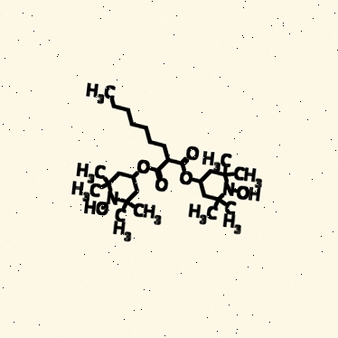 CCCCCCCC(C(=O)OC1CC(C)(C)N(O)C(C)(C)C1)C(=O)OC1CC(C)(C)N(O)C(C)(C)C1